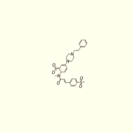 CN(C(=O)C=Cc1ccc(S(C)(=O)=O)cc1)C1C=CC(N2CCN(CCc3ccccc3)CC2)=CC1=S(=O)=O